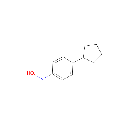 ONc1ccc(C2CCCC2)cc1